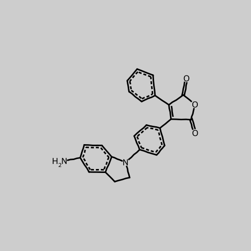 Nc1ccc2c(c1)CCN2c1ccc(C2=C(c3ccccc3)C(=O)OC2=O)cc1